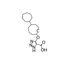 O=C(O)c1[nH]nnc1OC1CCCC(C2CCCCCC2)CCC1